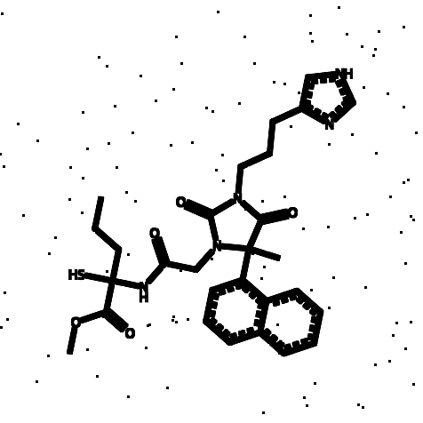 CCCC(S)(NC(=O)CN1C(=O)N(CCCc2c[nH]cn2)C(=O)C1(C)c1cccc2ccccc12)C(=O)OC